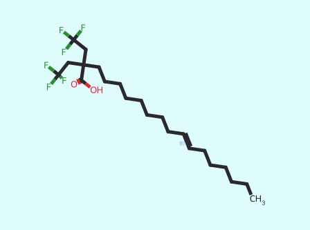 CCCCCC/C=C/CCCCCCCCC(CC(F)(F)F)(CC(F)(F)F)C(=O)O